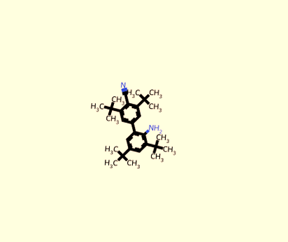 CC(C)(C)c1cc(-c2cc(C(C)(C)C)c(C#N)c(C(C)(C)C)c2)c(N)c(C(C)(C)C)c1